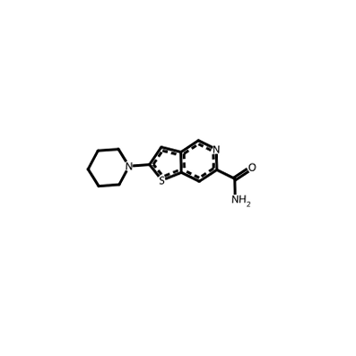 NC(=O)c1cc2sc(N3CCCCC3)cc2cn1